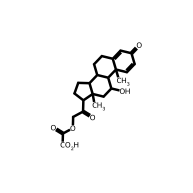 CC12C=CC(=O)C=C1CCC1C2C(O)CC2(C)C(C(=O)COC(=O)C(=O)O)CCC12